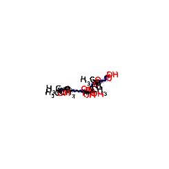 C/C(=C\[C@@H](C)[C@@H](C)O)[C@H]1CC=C[C@H](C/C=C/CC/C=C/[C@H](O)[C@@H](O)[C@H]2C=C(O)C(C)C(C/C=C/[C@@H]3O[C@H]4CC(O[C@@H]4/C=C/C=C\C=C/C(=O)O)C3C)O2)O1